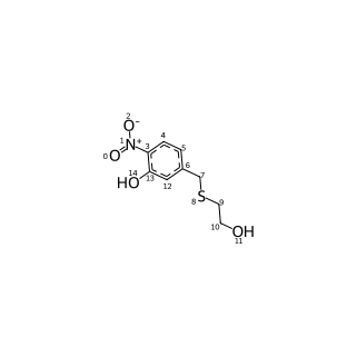 O=[N+]([O-])c1ccc(CSCCO)cc1O